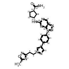 Cc1nc(CCn2cc(-c3ccc(-n4nnc5cnc(N[C@@H]6CC[C@@H](C(N)=O)C6)nc54)cc3)cn2)no1